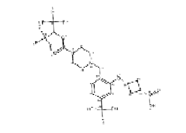 O=C(OC(C(F)(F)F)C(F)(F)F)N1CCN(Cc2ccc(C(F)(F)F)cc2O[C@H]2C[C@@H](C(=O)O)C2)CC1